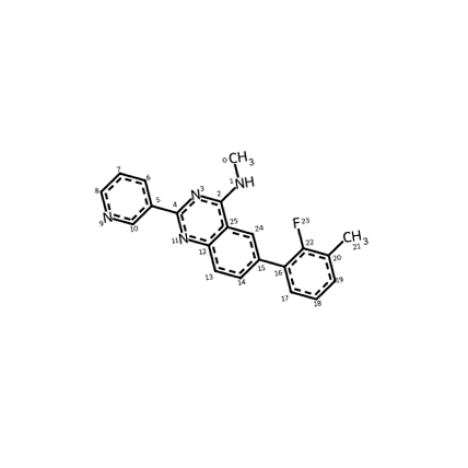 CNc1nc(-c2cccnc2)nc2ccc(-c3cccc(C)c3F)cc12